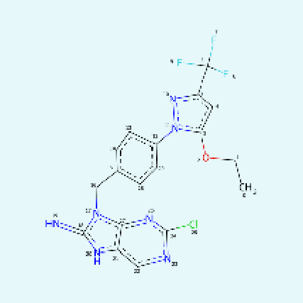 CCOc1cc(C(F)(F)F)nn1-c1ccc(Cn2c(=N)[nH]c3cnc(Cl)nc32)cc1